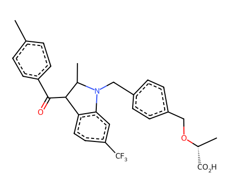 Cc1ccc(C(=O)C2c3ccc(C(F)(F)F)cc3N(Cc3ccc(CO[C@H](C)C(=O)O)cc3)C2C)cc1